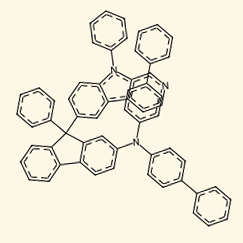 c1ccc(-c2ccc(N(c3ccc(-c4ccccc4)cc3)c3ccc4c(c3)C(c3ccccc3)(c3ccc5c(c3)c3ccncc3n5-c3ccccc3)c3ccccc3-4)cc2)cc1